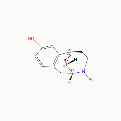 CCN1CC[C@]23CCCC[C@H]2[C@H]1Cc1ccc(O)cc13